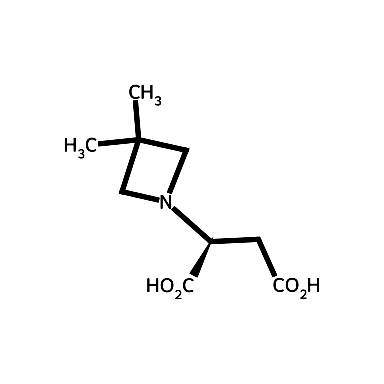 CC1(C)CN([C@@H](CC(=O)O)C(=O)O)C1